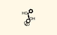 OC(C#CC1(O)CCC2(CC1)OCCO2)c1ccccc1